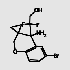 NC1(C(F)(F)CO)c2cc(Br)ccc2OCC12CC2